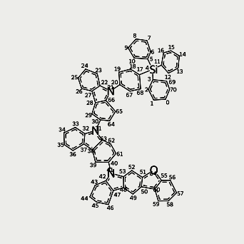 c1ccc([Si](c2ccccc2)(c2ccccc2)c2ccc(-n3c4ccccc4c4cc(-n5c6ccccc6c6cc(-n7c8ccccc8c8cc9c(cc87)oc7ccccc79)ccc65)ccc43)cc2)cc1